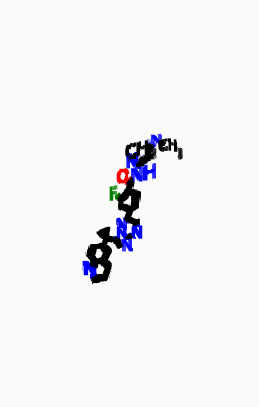 C=N/C(=C\C=N/C)NC(=O)c1ccc(-c2cnc3ncc(C4(c5ccc6ncccc6c5)CC4)n3n2)cc1F